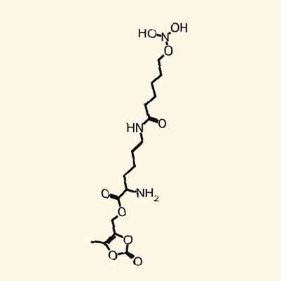 Cc1oc(=O)oc1COC(=O)C(N)CCCCNC(=O)CCCCCON(O)O